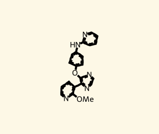 COc1ncccc1-c1nccnc1Oc1ccc(Nc2ccccn2)cc1